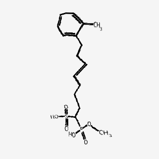 COP(=O)(O)C(CCCC=CCCc1ccccc1C)S(=O)(=O)O